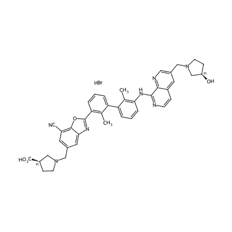 Br.Cc1c(Nc2nccc3cc(CN4CC[C@@H](O)C4)cnc23)cccc1-c1cccc(-c2nc3cc(CN4CC[C@@H](C(=O)O)C4)cc(C#N)c3o2)c1C